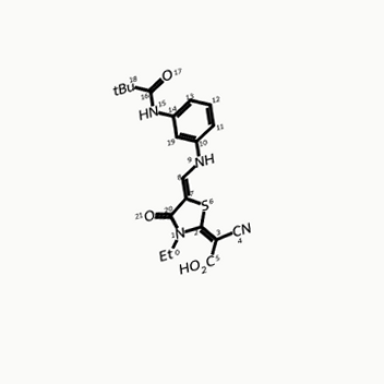 CCn1c(=C(C#N)C(=O)O)sc(=CNc2cccc(NC(=O)C(C)(C)C)c2)c1=O